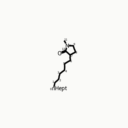 CCCCCCCCCCCCCC1CCN(C)C1=O